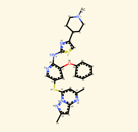 CC(=O)N1CCC(c2csc(Nc3ncc(Sc4cc(C)nc5cc(C)nn45)cc3Oc3ccccc3)n2)CC1